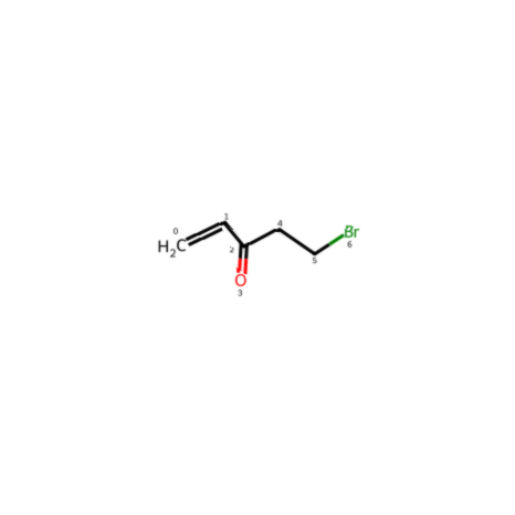 C=CC(=O)CCBr